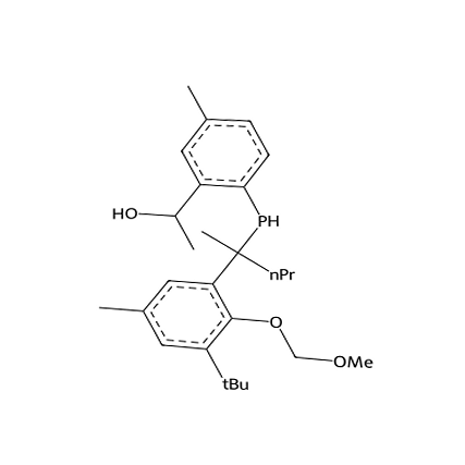 CCCC(C)(Pc1ccc(C)cc1C(C)O)c1cc(C)cc(C(C)(C)C)c1OCOC